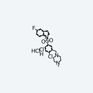 CN1CCN(Cc2cc(S(=O)(=O)n3ccc4cc(F)ccc43)ccc2Cl)CC1.Cl.Cl